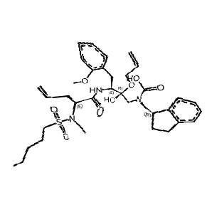 C=CCO[C@](O)(CN(C(=O)O)[C@@H]1CCc2ccccc21)[C@H](Cc1ccccc1OC)NC(=O)[C@H](CC=C)N(C)S(=O)(=O)CCCCC